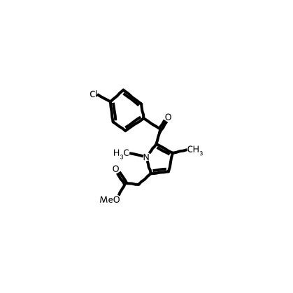 COC(=O)Cc1cc(C)c(C(=O)c2ccc(Cl)cc2)n1C